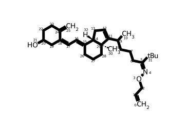 C=CCO/N=C(\CCCC(C)C1=CC[C@H]2/C(=C/C=C3/CC(O)CCC3=C)CCC[C@]12C)C(C)(C)C